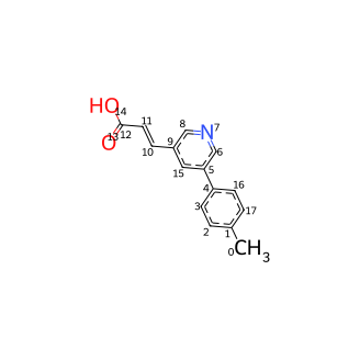 Cc1ccc(-c2cncc(/C=C/C(=O)O)c2)cc1